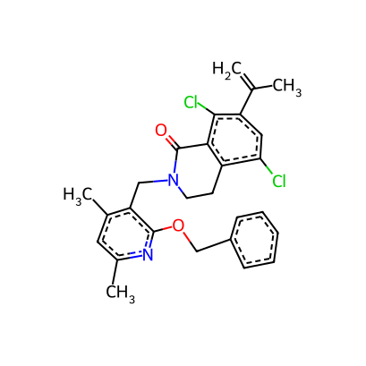 C=C(C)c1cc(Cl)c2c(c1Cl)C(=O)N(Cc1c(C)cc(C)nc1OCc1ccccc1)CC2